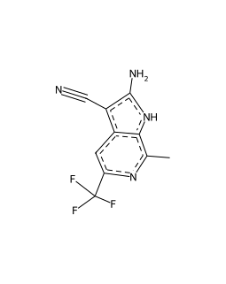 Cc1nc(C(F)(F)F)cc2c(C#N)c(N)[nH]c12